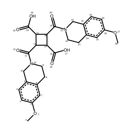 COc1ccc2c(c1)CCN(C(=O)C1C(C(=O)O)C(C(=O)N3CCc4cc(OC)ccc4C3)C1C(=O)O)C2